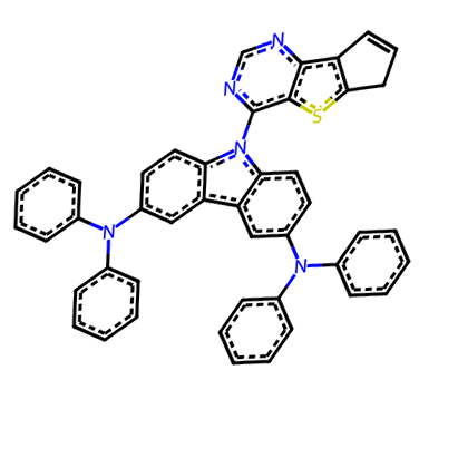 C1=Cc2c(sc3c(-n4c5ccc(N(c6ccccc6)c6ccccc6)cc5c5cc(N(c6ccccc6)c6ccccc6)ccc54)ncnc23)C1